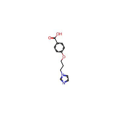 O=C(O)c1ccc(OCCCn2ccnc2)cc1